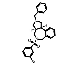 O=S(=O)(c1cccc(Br)c1)N1Cc2ccccc2[C@H]2CN(Cc3ccccc3)C[C@@H]2C1